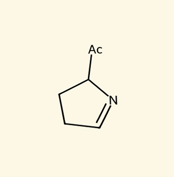 CC(=O)C1CCC=N1